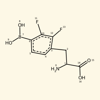 NC(Cc1ccc(B(O)O)c(F)c1F)C(=O)O